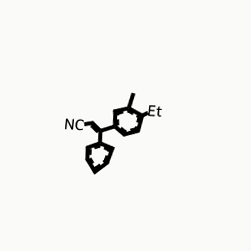 CCc1ccc(/C(=C/C#N)c2ccccc2)cc1C